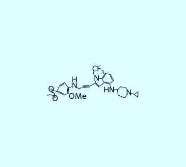 COc1cc(S(C)(=O)=O)ccc1NCC#Cc1cc2c(NC3CCN(C4CC4)CC3)cccc2n1CC(F)(F)F